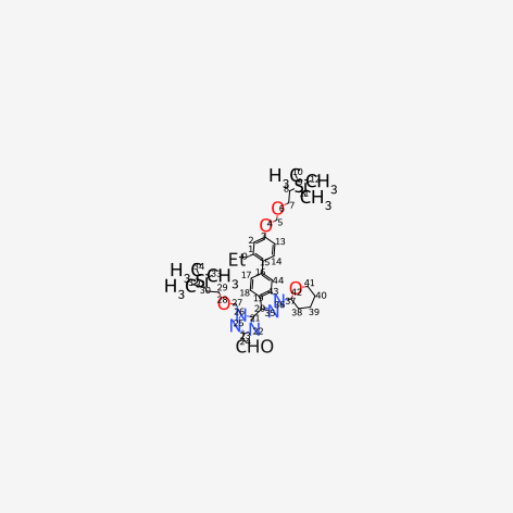 CCc1cc(OCOCC[Si](C)(C)C)ccc1-c1ccc2c(-c3nc(C=O)nn3COCC[Si](C)(C)C)nn(C3CCCCO3)c2c1